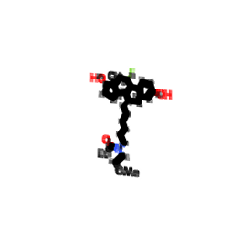 CCC(=O)N(CCCCCC[C@@H]1Cc2cc(O)ccc2C2C1C1CC[C@H](O)[C@@]1(C)C[C@@H]2F)CCOC